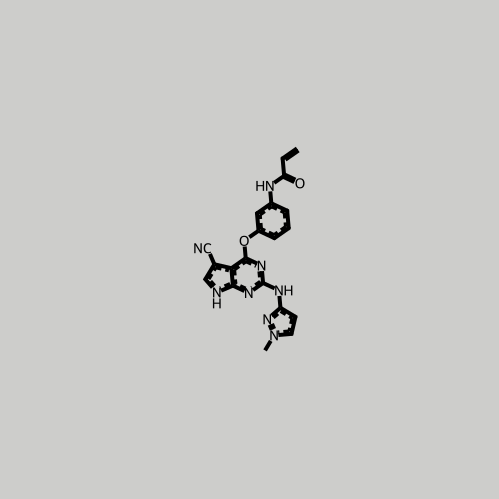 C=CC(=O)Nc1cccc(Oc2nc(Nc3ccn(C)n3)nc3[nH]cc(C#N)c23)c1